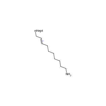 CCCCCCCC/C=C/CCCCCC[CH]N